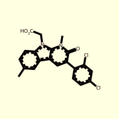 Cc1ccc2c(c1)c1cc(-c3ccc(Cl)cc3Cl)c(=O)n(C)c1n2CC(=O)O